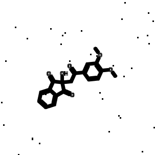 COc1ccc(C(=O)CC2(O)C(=O)c3ccccc3C2=O)cc1OC